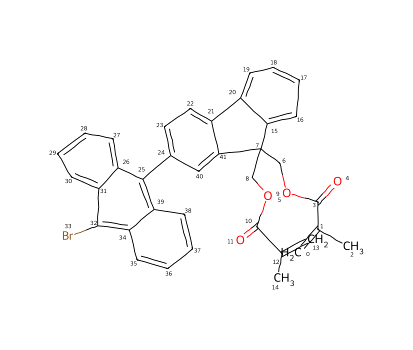 C=C(C)C(=O)OCC1(COC(=O)C(=C)C)c2ccccc2-c2ccc(-c3c4ccccc4c(Br)c4ccccc34)cc21